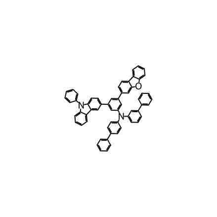 c1ccc(-c2ccc(N(c3cccc(-c4ccccc4)c3)c3cc(-c4ccc5c(c4)oc4ccccc45)cc(-c4ccc5c(c4)c4ccccc4n5-c4ccccc4)c3)cc2)cc1